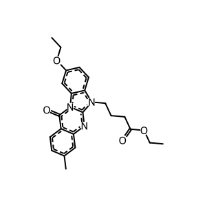 CCOC(=O)CCCn1c2ccc(OCC)cc2n2c(=O)c3ccc(C)cc3nc12